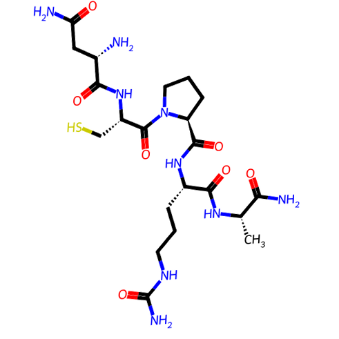 C[C@H](NC(=O)[C@H](CCCNC(N)=O)NC(=O)[C@@H]1CCCN1C(=O)[C@H](CS)NC(=O)[C@@H](N)CC(N)=O)C(N)=O